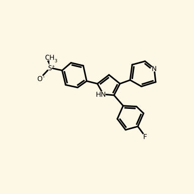 C[S@+]([O-])c1ccc(-c2cc(-c3ccncc3)c(-c3ccc(F)cc3)[nH]2)cc1